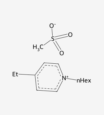 CCCCCC[n+]1ccc(CC)cc1.CS(=O)(=O)[O-]